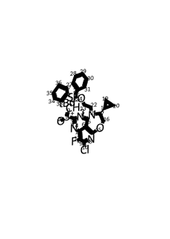 C[S+]([O-])c1nc2c3c(nc(Cl)c(F)c3n1)OC[C@H](C1CC1)N2CCO[Si](c1ccccc1)(c1ccccc1)C(C)(C)C